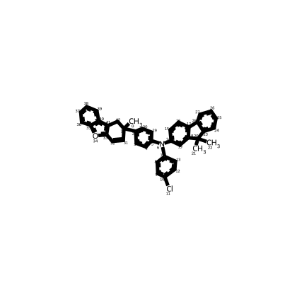 CC1(c2ccc(N(c3ccc(Cl)cc3)c3ccc4c(c3)C(C)(C)c3ccccc3-4)cc2)C=Cc2oc3ccccc3c2C1